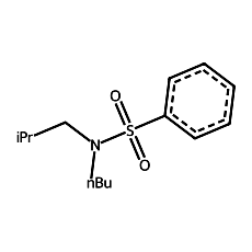 CCCCN(CC(C)C)S(=O)(=O)c1ccccc1